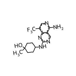 CC1(O)CCC(Nc2ncc3c(N)ncc(C(F)(F)F)c3n2)CC1